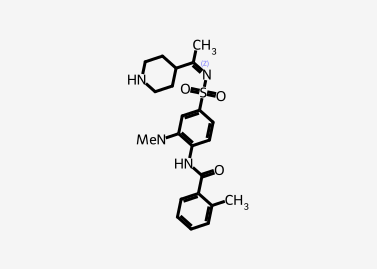 CNc1cc(S(=O)(=O)/N=C(/C)C2CCNCC2)ccc1NC(=O)c1ccccc1C